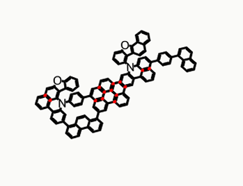 c1ccc(-c2ccc(-c3cccc4c3ccc3c(-c5ccc6c(ccc7c(-c8ccc(-c9ccccc9)c(N(c9ccc(-c%10ccc(-c%11cccc%12ccccc%11%12)cc%10)cc9)c9cccc%10oc%11c%12ccccc%12ccc%11c9%10)c8)cccc76)c5)cccc34)cc2N(c2ccc(-c3ccc(-c4cccc5ccccc45)cc3)cc2)c2cccc3oc4ccccc4c23)cc1